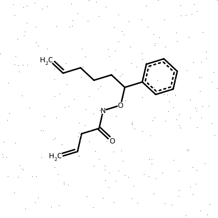 C=CCCCC(O[N]C(=O)CC=C)c1ccccc1